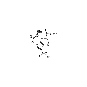 COC(=O)c1cnc2c(c1)c(N(C)C(=O)OC(C)(C)C)nn2C(=O)OC(C)(C)C